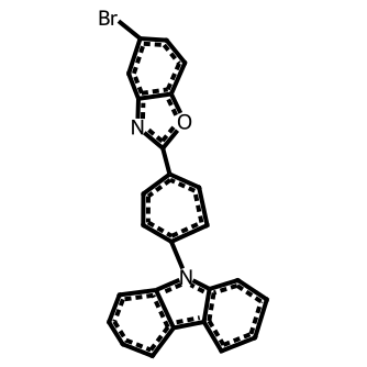 Brc1ccc2oc(-c3ccc(-n4c5ccccc5c5ccccc54)cc3)nc2c1